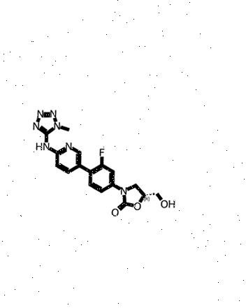 Cn1nnnc1Nc1ccc(-c2ccc(N3C[C@H](CO)OC3=O)cc2F)cn1